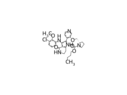 CCCCOC(=O)N1CCC[C@H]1COc1cnccc1-c1[nH]c2c(c1Nc1cccc(Cl)c1OC)C(=O)NCC2